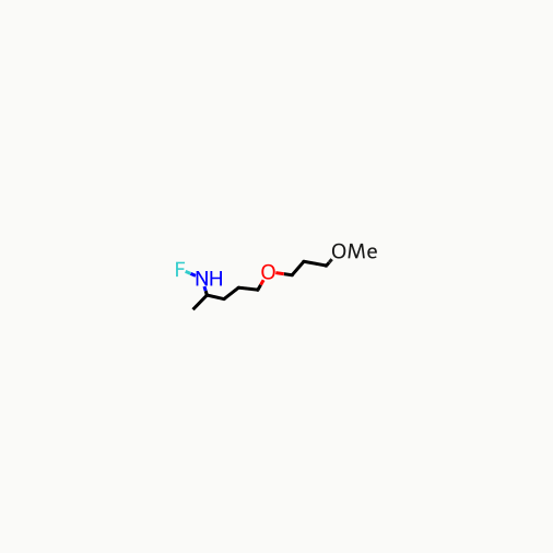 COCCCOCCCC(C)NF